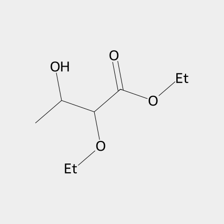 CCOC(=O)C(OCC)C(C)O